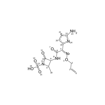 C=CCON=C(C(=O)NC1C(=O)N(S(=O)(=O)O)C1C)c1csc(N)n1